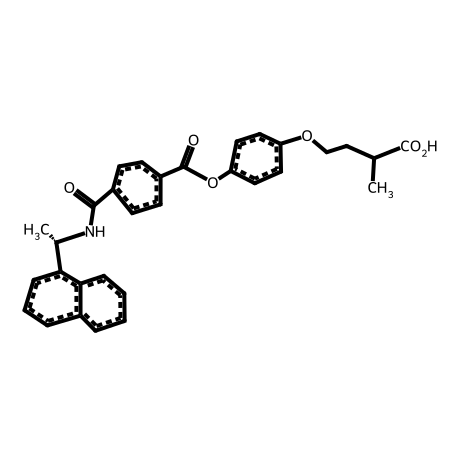 CC(CCOc1ccc(OC(=O)c2ccc(C(=O)N[C@@H](C)c3cccc4ccccc34)cc2)cc1)C(=O)O